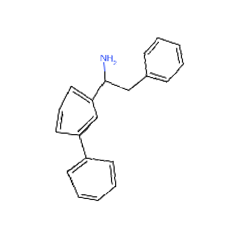 NC(Cc1ccccc1)c1cccc(-c2ccccc2)c1